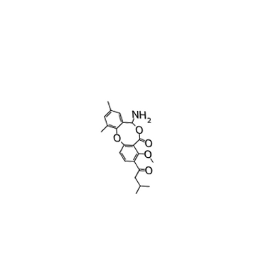 COc1c(C(=O)CC(C)C)ccc2c1C(=O)OC(N)c1cc(C)cc(C)c1O2